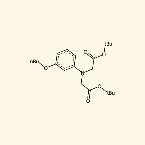 CCCCOc1cccc(N(CC(=O)OC(C)(C)C)CC(=O)OC(C)(C)C)c1